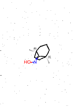 C[C@]12CCC[C@](C)(CC1)C2=NO